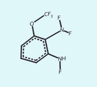 FNc1cccc(OC(F)(F)F)c1N(F)F